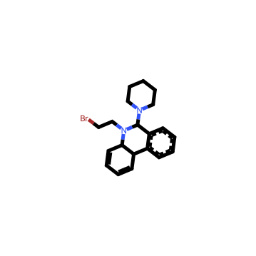 BrCCN1C2C=CC=CC2c2ccccc2C1N1CCCCC1